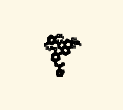 COc1ccc(OC(=O)c2cccs2)cc1-c1ccc2c(c1COc1cc(F)ccc1C)C(C)=CC(C)(C)N2